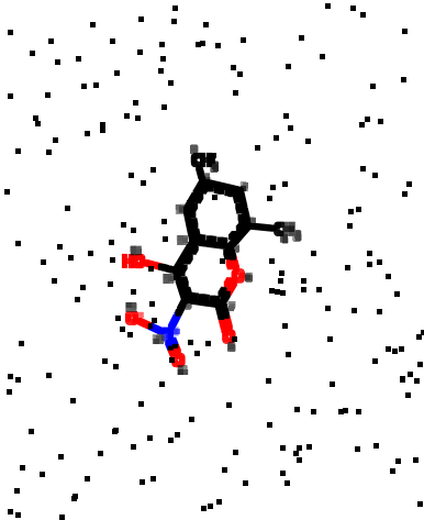 Cc1cc(C)c2oc(=O)c([N+](=O)[O-])c(O)c2c1